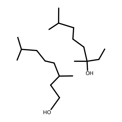 CC(C)CCCC(C)CCO.CCC(C)(O)CCCC(C)C